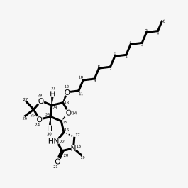 CCCCCCCCCCCCO[C@H]1O[C@H]([C@@H]2CN(C)C(=O)N2)[C@@H]2OC(C)(C)O[C@H]12